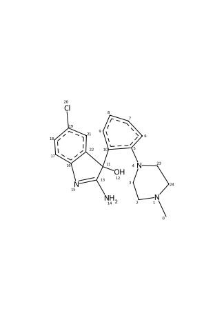 CN1CCN(c2ccccc2C2(O)C(N)=Nc3ccc(Cl)cc32)CC1